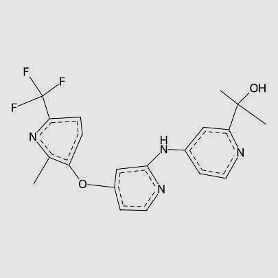 Cc1nc(C(F)(F)F)ccc1Oc1ccnc(Nc2ccnc(C(C)(C)O)c2)c1